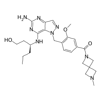 CCC[C@@H](CCO)Nc1nc(N)nc2cnn(Cc3ccc(C(=O)N4CC5(CN(C)C5)C4)cc3OC)c12